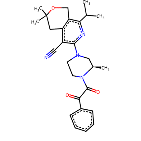 CC(C)c1nc(N2CCN(C(=O)C(=O)c3ccccc3)[C@H](C)C2)c(C#N)c2c1COC(C)(C)C2